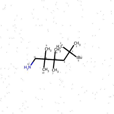 CC(C)(C)C(C)(C)CC(C)(C)C(C)(C)CN